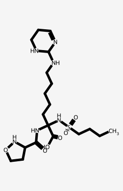 CCCCS(=O)(=O)NC(CCCCCNC1N=CCCN1)(NC(=O)C1CCON1)C(=O)O